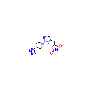 O=C1NC(=O)C(=Cc2ccnc(N3CCC(c4nnn[nH]4)CC3)n2)S1